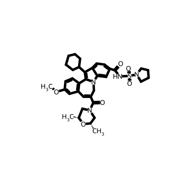 COc1ccc2c(c1)C=C(C(=O)N1C[C@@H](C)O[C@@H](C)C1)Cn1c-2c(C2CCCCC2)c2ccc(C(=O)NS(=O)(=O)N3CCCC3)cc21